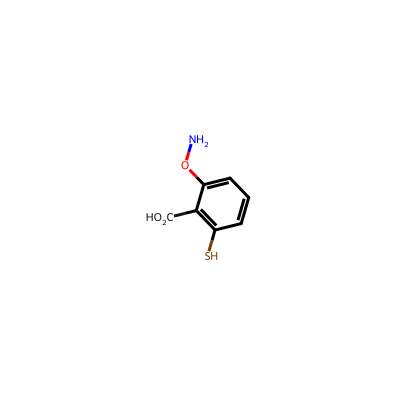 NOc1cccc(S)c1C(=O)O